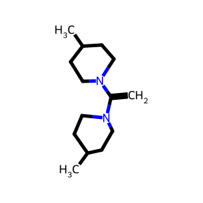 C=C(N1CCC(C)CC1)N1CCC(C)CC1